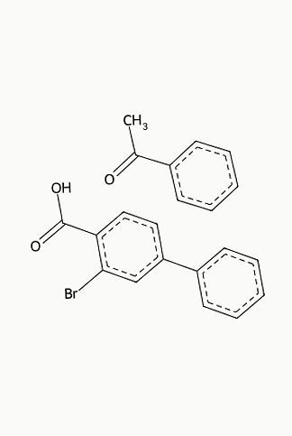 CC(=O)c1ccccc1.O=C(O)c1ccc(-c2ccccc2)cc1Br